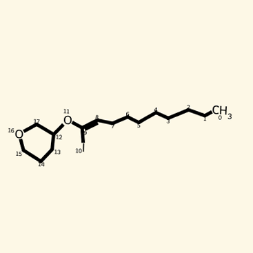 CCCCCCCCC=C(I)OC1CCCOC1